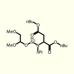 CCCCOC(=O)CC(C(=O)OCCCC)N(CCC)[SiH2]OC(COC)OC